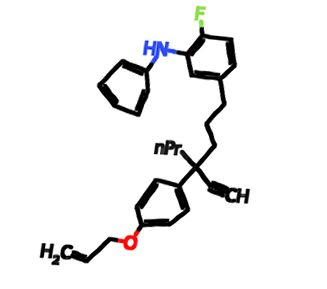 C#CC(CCC)(CCCc1ccc(F)c(Nc2ccccc2)c1)c1ccc(OCC=C)cc1